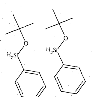 CC(C)(C)O[SiH2]c1ccccc1.CC(C)(C)O[SiH2]c1ccccc1